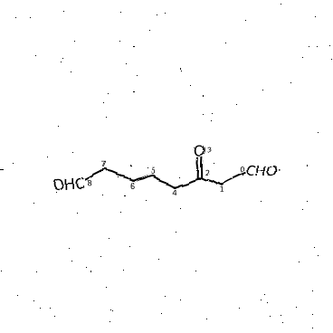 O=[C]CC(=O)CCCCC=O